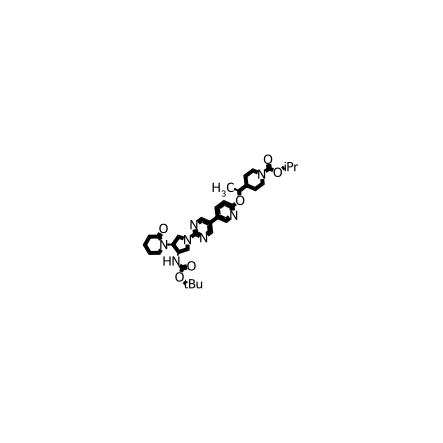 CC(C)OC(=O)N1CCC([C@H](C)Oc2ccc(-c3cnc(N4C[C@H](NC(=O)OC(C)(C)C)[C@@H](N5CCCCC5=O)C4)nc3)cn2)CC1